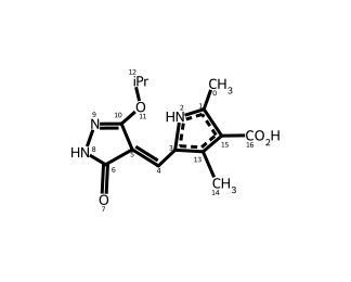 Cc1[nH]c(/C=C2/C(=O)NN=C2OC(C)C)c(C)c1C(=O)O